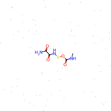 CNC(=O)OSNC(=O)C(N)=O